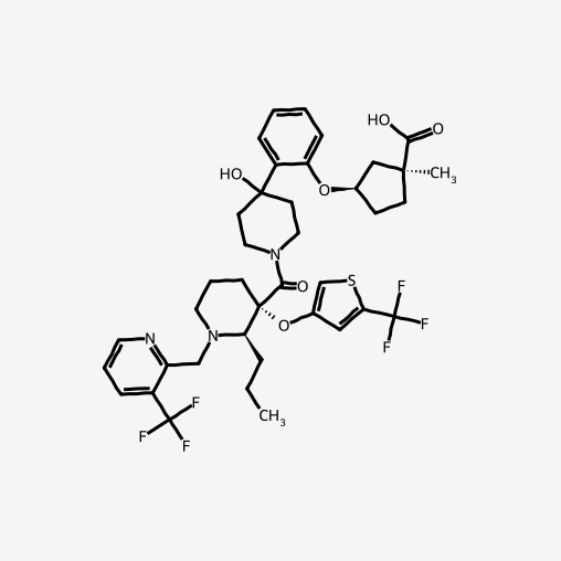 CCC[C@H]1N(Cc2ncccc2C(F)(F)F)CCC[C@@]1(Oc1csc(C(F)(F)F)c1)C(=O)N1CCC(O)(c2ccccc2O[C@@H]2CC[C@](C)(C(=O)O)C2)CC1